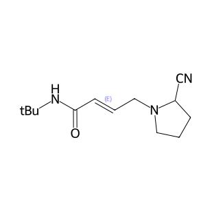 CC(C)(C)NC(=O)/C=C/CN1CCCC1C#N